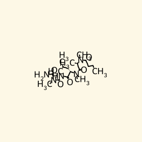 CCCC(=O)N(C)[C@H](C)C(=O)N(C)[C@@H](CC(C)C)C(=O)NC(=O)N(C)C(N)=O